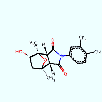 C[C@]12O[C@](C)(C[C@@H]1O)[C@H]1C(=O)N(c3ccc(C#N)c(C(F)(F)F)c3)C(=O)[C@H]12